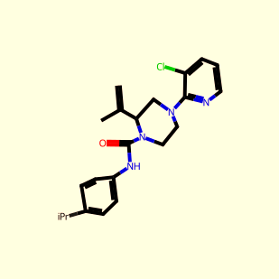 C=C(C)C1CN(c2ncccc2Cl)CCN1C(=O)Nc1ccc(C(C)C)cc1